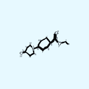 CCOC(=O)C1CCC(N2CCC(=O)CC2)CC1